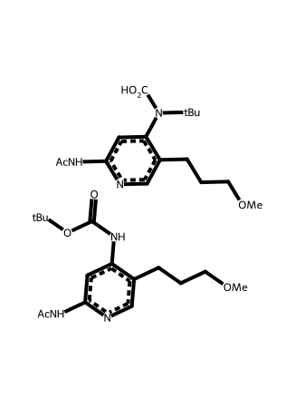 COCCCc1cnc(NC(C)=O)cc1N(C(=O)O)C(C)(C)C.COCCCc1cnc(NC(C)=O)cc1NC(=O)OC(C)(C)C